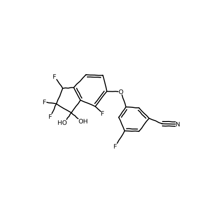 N#Cc1cc(F)cc(Oc2ccc3c(c2F)C(O)(O)C(F)(F)C3F)c1